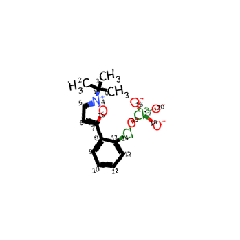 CC(C)(C)[n+]1ccc(-c2ccccc2Cl)o1.[O-][Cl+3]([O-])([O-])[O-]